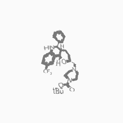 CC(C)(C)OC(=O)N1CCN(C[C@H]2CC[C@@H]3[C@H](O2)c2cc(C(F)(F)F)ccc2N[C@H]3c2ccccc2)CC1